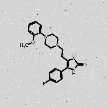 COc1ccccc1N1CCN(CCc2[nH]c(=O)[nH]c2-c2ccc(F)cc2)CC1